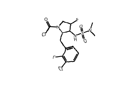 CN(C)S(=O)(=O)NC1C(F)CN(C(=O)Cl)C1Cc1cccc(Cl)c1F